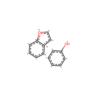 Oc1ccccc1.c1ccc2occc2c1